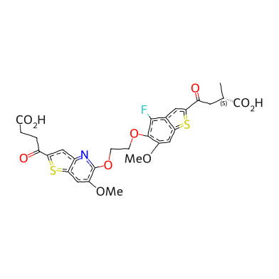 COc1cc2sc(C(=O)CCC(=O)O)cc2nc1OCCOc1c(OC)cc2sc(C(=O)C[C@H](C)C(=O)O)cc2c1F